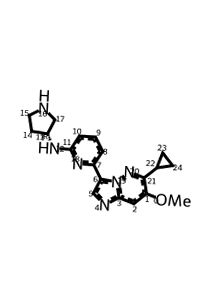 COc1cc2ncc(-c3cccc(N[C@@H]4CCNC4)n3)n2nc1C1CC1